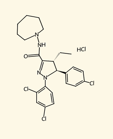 CC[C@H]1C(C(=O)NN2CCCCCC2)=NN(c2ccc(Cl)cc2Cl)[C@@H]1c1ccc(Cl)cc1.Cl